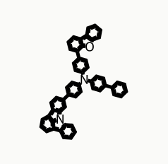 c1ccc(-c2ccc(N(c3ccc(-c4ccc5c6cccc7c8ccccc8n(c5c4)c76)cc3)c3ccc(-c4cccc5c4oc4ccccc45)cc3)cc2)cc1